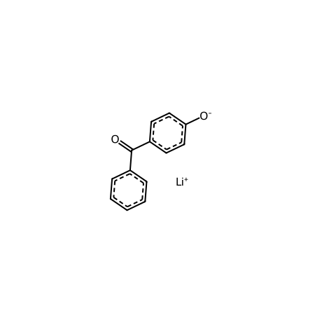 O=C(c1ccccc1)c1ccc([O-])cc1.[Li+]